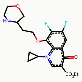 CCOC(=O)c1cn(C2CC2)c2c(OCCC3COCCN3)c(F)c(F)cc2c1=O